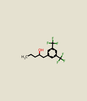 CCCC(O)Cc1cc(C(F)(F)F)cc(C(F)(F)F)c1